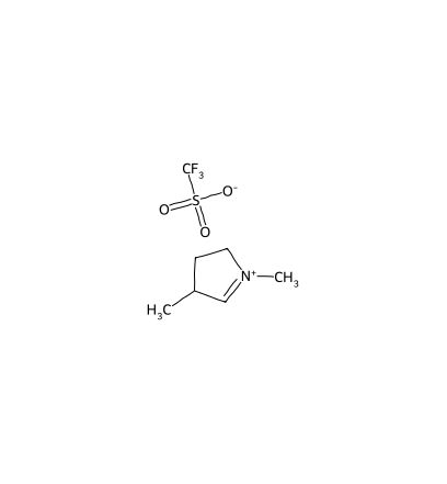 CC1C=[N+](C)CC1.O=S(=O)([O-])C(F)(F)F